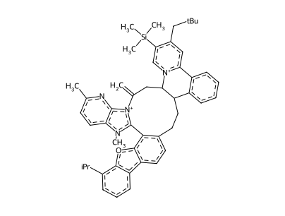 C=C1CC2C(CCc3ccc4c(oc5c(C(C)C)cccc54)c3-c3n(C)c4ccc(C)nc4[n+]31)c1ccccc1-c1cc(CC(C)(C)C)c([Si](C)(C)C)c[n+]12